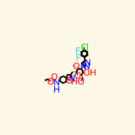 CCOC(=O)NC1CCC2(CC1)CC(C[C@H]1O[C@H](CO)[C@H](O)[C@H](n3cc(-c4ccc(Cl)c(F)c4F)nn3)[C@H]1OC)=NO2